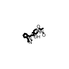 CC(NC=O)C(=O)N1CCC2(CC1)C[C@@H]([C@H]1c3ccccc3-c3cncn31)[C@H]2O